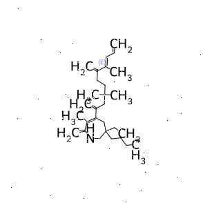 C=C/C=C(\C)C(=C)CCC(C)(C)CC(=C)C1=C(C)C(=C)NCC(CC)(CCCC)C1